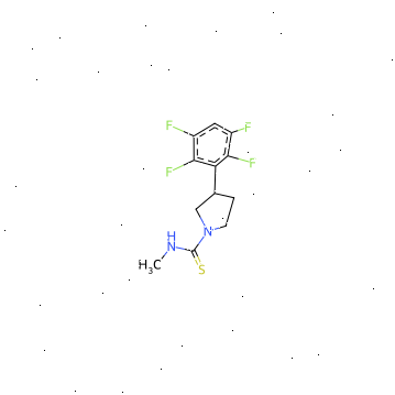 CNC(=S)N1CCC(c2c(F)c(F)cc(F)c2F)C1